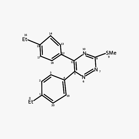 CCc1ccc(-c2nnc(SC)nc2-c2ccc(CC)cc2)cc1